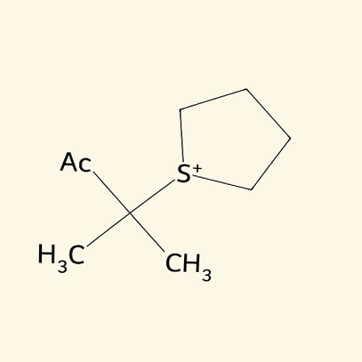 CC(=O)C(C)(C)[S+]1CCCC1